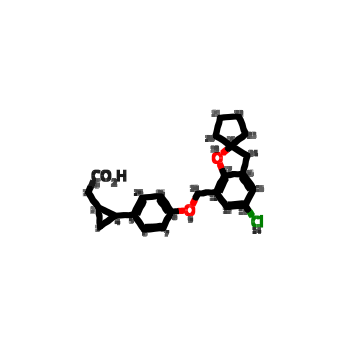 O=C(O)CC1CC1c1ccc(OCc2cc(Cl)cc3c2OC2(CCCC2)C3)cc1